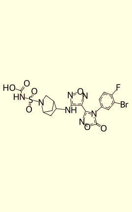 O=C(O)NS(=O)(=O)N1CC2CC1CC2Nc1nonc1-c1noc(=O)n1-c1ccc(F)c(Br)c1